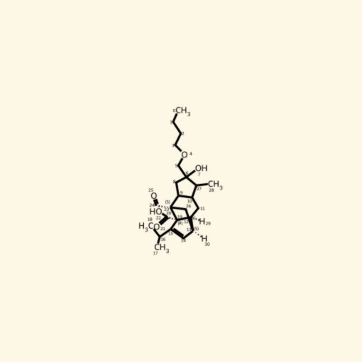 CCCCOCC1(O)CC2C(C[C@H]3[C@H]4C=C(C(C)C)[C@@]3(C(=O)O)[C@]2(C=O)C4)C1C